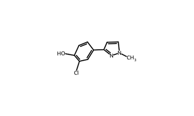 Cn1ccc(-c2ccc(O)c(Cl)c2)n1